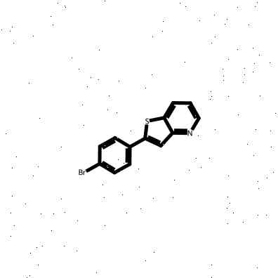 Brc1ccc(-c2cc3ncccc3s2)cc1